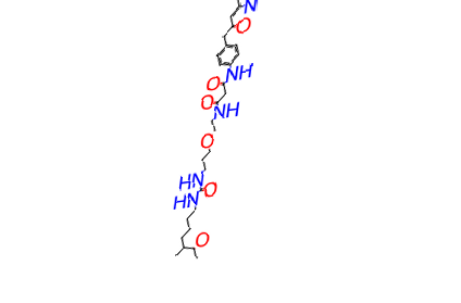 CN/C(C)=C\C(=O)Cc1ccc(NC(=O)CC(=O)NCCOCCCNC(=O)NCCCCC(C)C(C)=O)cc1